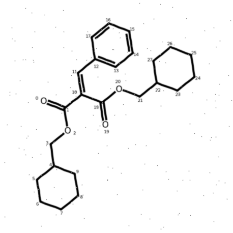 O=C(OCC1CCCCC1)C(=Cc1ccccc1)C(=O)OCC1CCCCC1